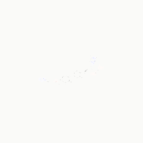 C[C@H](O)c1nccn1[C@@H](C#Cc1ccc(-c2ccc(COC3CC3N)cc2)cc1)CO